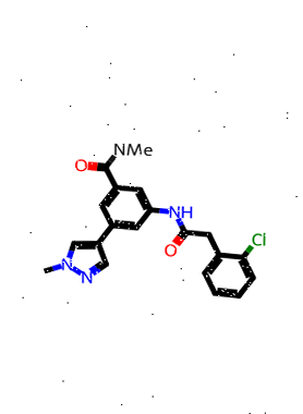 CNC(=O)c1cc(NC(=O)Cc2ccccc2Cl)cc(-c2cnn(C)c2)c1